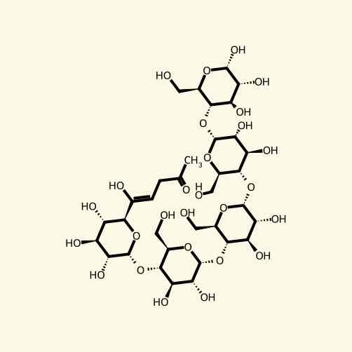 CC(=O)CC=C(O)[C@H]1O[C@H](O[C@H]2[C@H](O)[C@@H](O)[C@@H](O[C@H]3[C@H](O)[C@@H](O)[C@@H](O[C@H]4[C@H](O)[C@@H](O)[C@@H](O[C@H]5[C@H](O)[C@@H](O)[C@@H](O)O[C@@H]5CO)O[C@@H]4CO)O[C@@H]3CO)O[C@@H]2CO)[C@H](O)[C@@H](O)[C@@H]1O